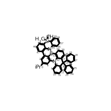 CC(C)c1cc2c3c(c1)N1c4ccccc4C(c4ccccc4)(c4ccccc4)c4cccc(c41)B3N1c3ccccc3[Si](C)(C)c3cccc-2c31